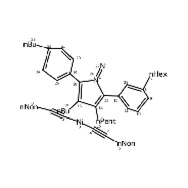 CCCCCCCCCC#[C][Ni][C]#CCCCCCCCCC.CCCCCCc1cccc(C2=C(CCCCC)C(CCCC)=C(c3ccc(CCCC)cc3)[N+]2=[N-])c1